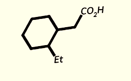 CCC1CCCCC1CC(=O)O